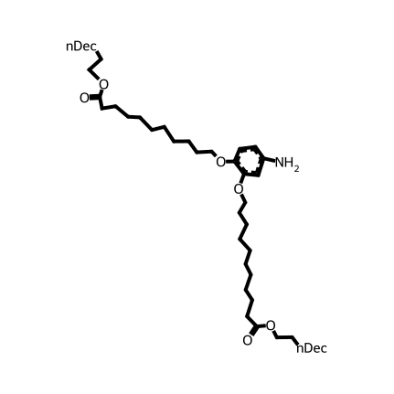 CCCCCCCCCCCCOC(=O)CCCCCCCCCCOc1ccc(N)cc1OCCCCCCCCCCC(=O)OCCCCCCCCCCCC